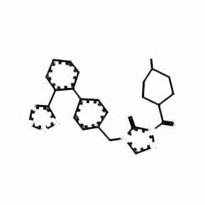 CC(C)C1CCC(C(=O)n2ncn(Cc3ccc(-c4ccccc4-c4nnn[nH]4)cc3)c2=O)CC1